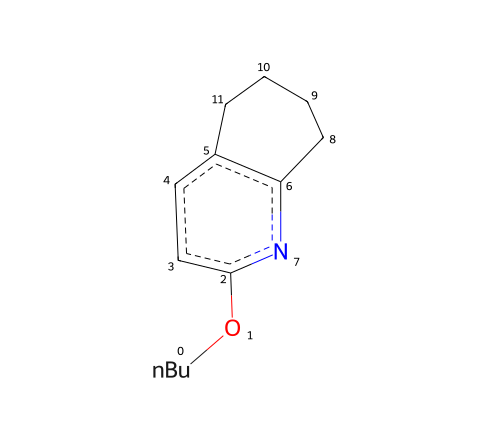 CCCCOc1ccc2c(n1)CCCC2